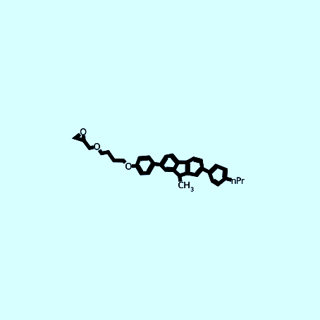 CCCc1ccc(-c2ccc3c(c2)C(C)c2cc(-c4ccc(OCCCCOCC5CO5)cc4)ccc2-3)cc1